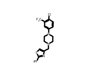 CC(C)c1nc(CN2CCN(c3ccc(Cl)c(C(F)(F)F)c3)CC2)cs1